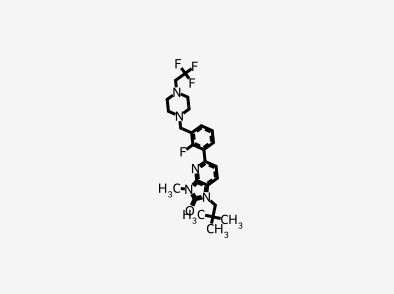 Cn1c(=O)n(CC(C)(C)C)c2ccc(-c3cccc(CN4CCN(CC(F)(F)F)CC4)c3F)nc21